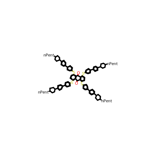 CCCCCC1CCC(c2ccc(-c3ccc(Sc4ccc(Sc5ccc(-c6ccc(C7CCC(CCCCC)CC7)cc6)cc5)c5c4C(=O)c4c(Sc6ccc(-c7ccc(C8CCC(CCCCC)CC8)cc7)cc6)ccc(Sc6ccc(-c7ccc(C8CCC(CCCCC)CC8)cc7)cc6)c4C5=O)cc3)cc2)CC1